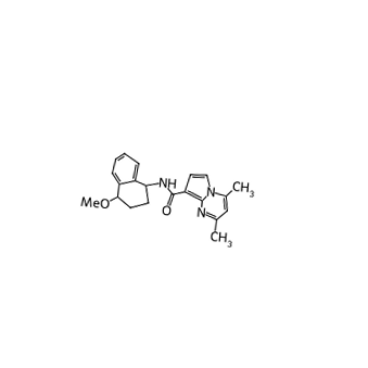 COC1CCC(NC(=O)c2ccn3c(C)cc(C)nc23)c2ccccc21